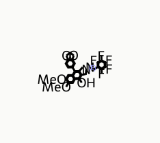 COc1cc2c(O)c3c(c(-c4ccc5c(c4)OCO5)c2cc1OC)CN(/N=C/c1c(F)c(F)c(F)c(F)c1F)C3